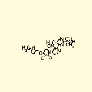 Cc1cnc(C(C)(C)O)nc1-c1cc(-n2c(C)cc(OCc3ccn(C)n3)c(Cl)c2=O)ccn1